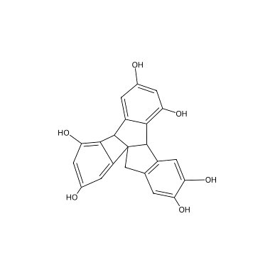 Oc1cc(O)c2c(c1)C1c3c(O)cc(O)cc3C13Cc1cc(O)c(O)cc1C23